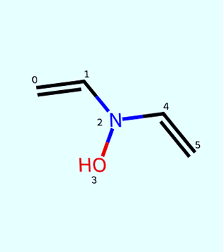 C=CN(O)C=C